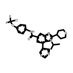 CC(C)n1c(C2CCOCC2)nc2cc(C(=O)Nc3ccc(OC(F)(F)Cl)cc3)cc(-c3cncnc3)c21